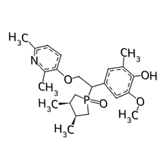 COc1cc(C(COc2ccc(C)nc2C)P2(=O)C[C@@H](C)[C@@H](C)C2)cc(C)c1O